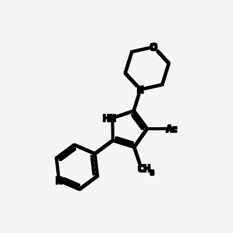 CC(=O)c1c(N2CCOCC2)[nH]c(-c2ccncc2)c1C